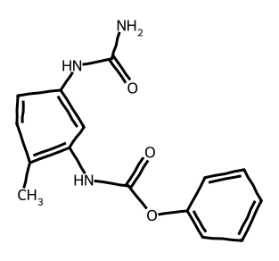 Cc1ccc(NC(N)=O)cc1NC(=O)Oc1ccccc1